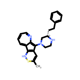 CC1=Cc2c(c3ccccnc-3c2N2CCN[C@@H](CCc3ccccc3)C2)NS1